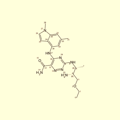 CCOC[C@H](N)[C@@H](C)Nc1nnc(C(N)=O)c(Nc2cc(C)cc3c2ccn3C)n1